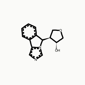 O[C@H]1COC[C@@H]1C1c2ccccc2-c2cncn21